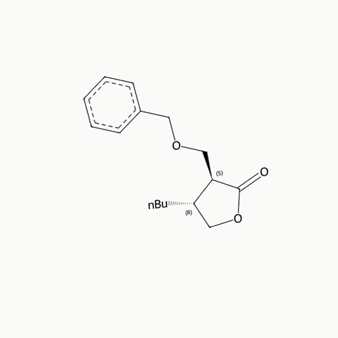 CCCC[C@H]1COC(=O)[C@@H]1COCc1ccccc1